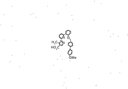 COc1ccc(-c2ccc(COc3ccccc3-c3cccc(-n4ncc(C(=O)O)c4C)n3)cc2)cc1